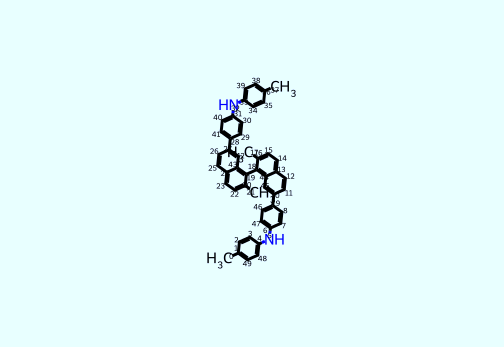 Cc1ccc(Nc2ccc(-c3ccc4ccc(C)c(-c5c(C)ccc6ccc(-c7ccc(Nc8ccc(C)cc8)cc7)cc56)c4c3)cc2)cc1